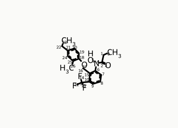 CCC(=O)N(O)c1cccc(C(F)(F)F)c1COc1ccc(CC)cc1C